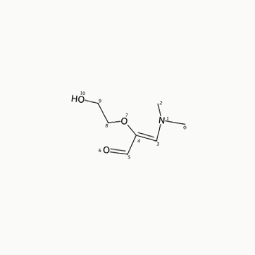 CN(C)/C=C(/C=O)OCCO